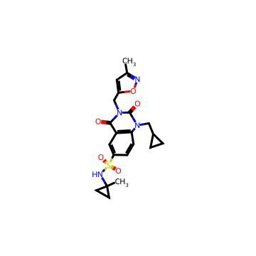 Cc1cc(Cn2c(=O)c3cc(S(=O)(=O)NC4(C)CC4)ccc3n(CC3CC3)c2=O)on1